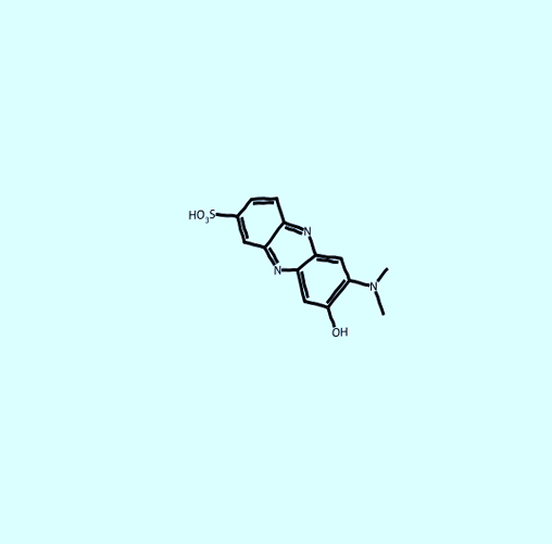 CN(C)c1cc2nc3ccc(S(=O)(=O)O)cc3nc2cc1O